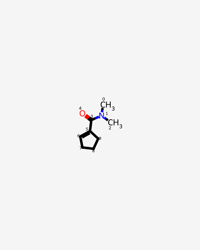 CN(C)C(=O)C1=CCCC1